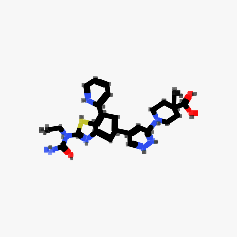 CCN(C(N)=O)c1nc2cc(-c3cnnc(N4CCC(C)(C(=O)O)CC4)c3)cc(-c3ccccn3)c2s1